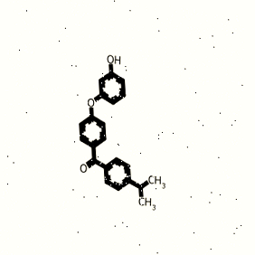 CC(C)c1ccc(C(=O)c2ccc(Oc3cccc(O)c3)cc2)cc1